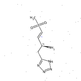 CS(=O)(=O)/C=C/[C@@H](N)Cc1nnn[nH]1